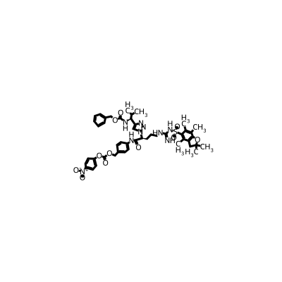 Cc1c(C)c(S(=O)(=O)NC(=N)NCCC[C@@H](C(=O)Nc2ccc(COC(=O)Oc3ccc([N+](=O)[O-])cc3)cc2)n2cc([C@@H](NC(=O)OCc3ccccc3)C(C)C)nn2)c(C)c2c1OC(C)(C)C2